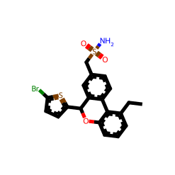 CCc1cccc2c1-c1ccc(CS(N)(=O)=O)cc1C(c1ccc(Br)s1)O2